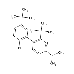 CC(C)c1ccc(-c2cc(C(C)(C)C)ccc2Cl)c(C(C)(C)C)n1